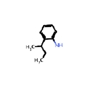 CCC(C)c1ccccc1[NH]